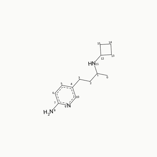 CC(CCc1ccc(N)nc1)NC1CCC1